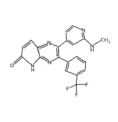 CNc1cc(-c2nc3ccc(=O)[nH]c3nc2-c2cccc(C(F)(F)F)c2)ccn1